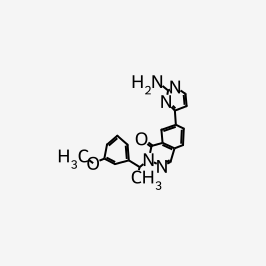 COc1cccc(C(C)n2ncc3ccc(-c4ccnc(N)n4)cc3c2=O)c1